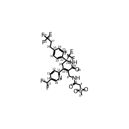 CS(=O)(=O)CC(=O)NCC1=C(c2ccc(C(F)F)cn2)C[C@@](c2ccc(CCC(F)(F)F)cc2)(C(F)(F)F)NC1=O